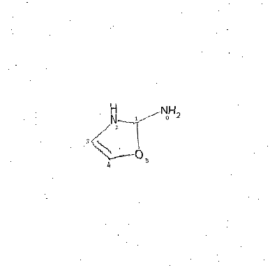 N[C]1NC=CO1